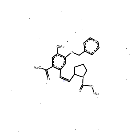 COC(=O)c1cc(OC)c(OCc2ccccc2)cc1/C=C\C1CCCN1C(=O)OC(C)(C)C